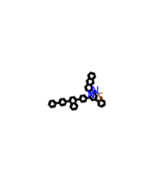 c1ccc(-c2ccc(-c3ccc(-c4ccc(-c5cc6c7ccccc7sc6c6nc7c8cc9ccccc9cc8ccc7n56)cc4)c4ccccc34)cc2)cc1